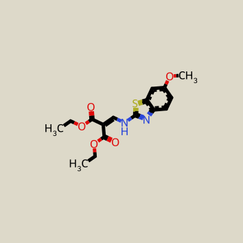 CCOC(=O)C(=CNc1nc2ccc(OC)cc2s1)C(=O)OCC